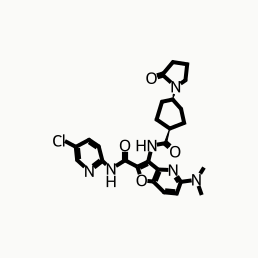 CN(C)c1ccc2oc(C(=O)Nc3ccc(Cl)cn3)c(NC(=O)[C@H]3CC[C@H](N4CCCC4=O)CC3)c2n1